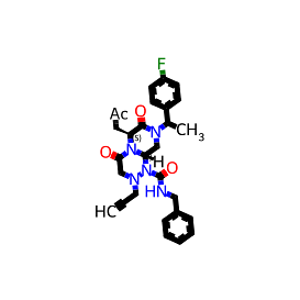 C#CCN1CC(=O)N2[C@@H](CC(C)=O)C(=O)N(C(C)c3ccc(F)cc3)C[C@@H]2N1C(=O)NCc1ccccc1